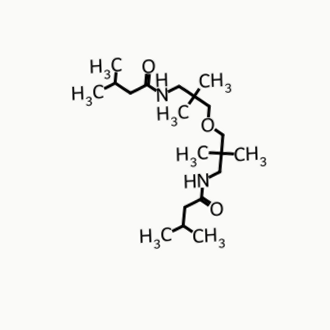 CC(C)CC(=O)NCC(C)(C)COCC(C)(C)CNC(=O)CC(C)C